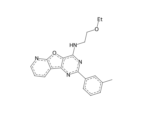 CCOCCNc1nc(-c2cccc(C)c2)nc2c1oc1ncccc12